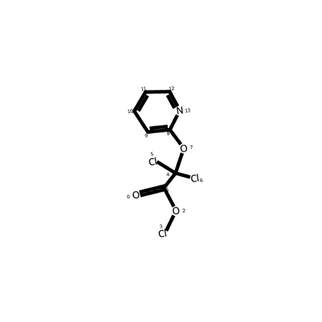 O=C(OCl)C(Cl)(Cl)Oc1ccccn1